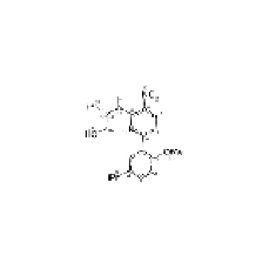 COc1ccc(C(C)C)cc1-c1ccc([N+](=O)[O-])c(N[C@H](CO)C(C)C)n1